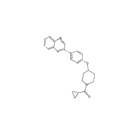 O=C(C1CC1)N1CCC(Oc2ccc(-c3cnc4ccccc4n3)cc2)CC1